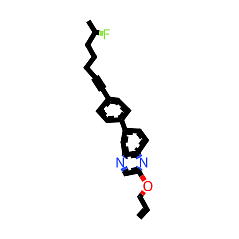 C=CCOc1cnc2cc(-c3ccc(C#CCCCC(C)F)cc3)ccc2n1